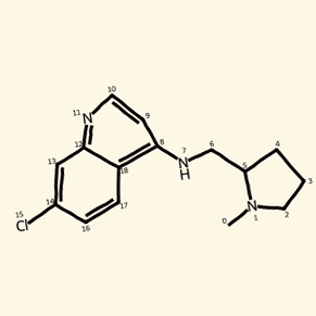 CN1CCCC1CNc1ccnc2cc(Cl)ccc12